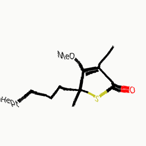 CCCCCCCCCCC1(C)SC(=O)C(C)=C1OC